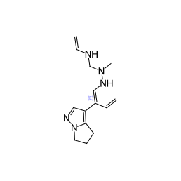 C=CNCN(C)N/C=C(\C=C)c1cnn2c1CCC2